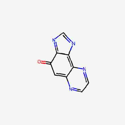 O=C1C=c2nccnc2=C2N=CN=C12